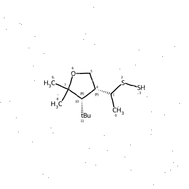 CC(SS)[C@H]1COC(C)(C)[C@H]1C(C)(C)C